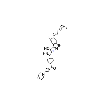 COCCOc1cc2[nH]nc(/C(O)=C/C(=N)c3ccc(C(=O)N4CC(N5CCOCC5)C4)cc3)c2cc1F